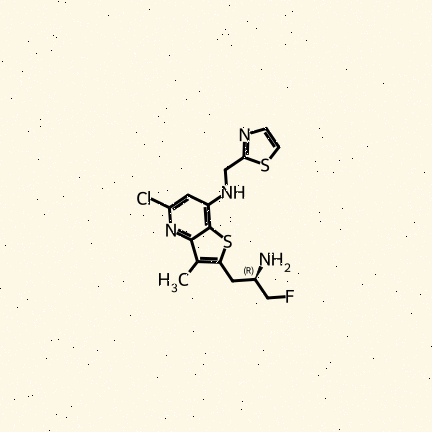 Cc1c(C[C@@H](N)CF)sc2c(NCc3nccs3)cc(Cl)nc12